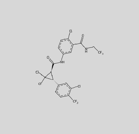 O=C(NCC(F)(F)F)c1cc(NC(=O)[C@H]2[C@H](c3ccc(C(F)(F)F)c(Cl)c3)C2(Cl)Cl)ccc1Cl